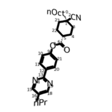 CCCCCCCC[C@]1(C#N)CC[C@H](C(=O)Oc2ccc(-c3ncc(CCC)cn3)cc2)CC1